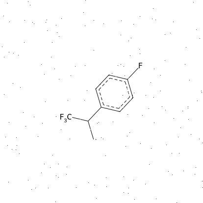 [CH2]C(c1ccc(F)cc1)C(F)(F)F